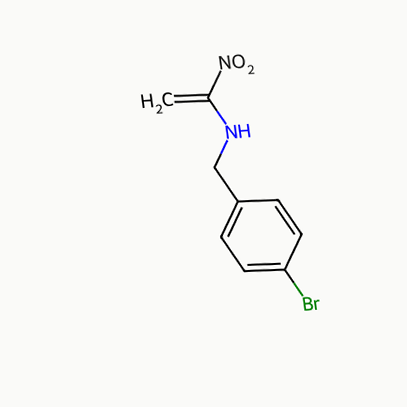 C=C(NCc1ccc(Br)cc1)[N+](=O)[O-]